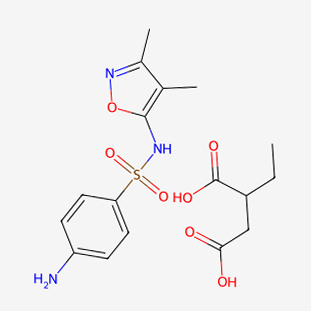 CCC(CC(=O)O)C(=O)O.Cc1noc(NS(=O)(=O)c2ccc(N)cc2)c1C